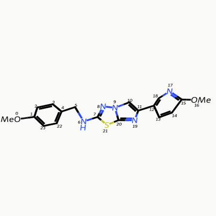 COc1ccc(CNc2nn3cc(-c4ccc(OC)nc4)nc3s2)cc1